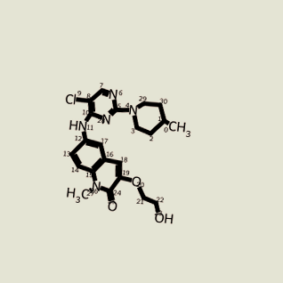 CC1CCN(c2ncc(Cl)c(Nc3ccc4c(c3)cc(OCCO)c(=O)n4C)n2)CC1